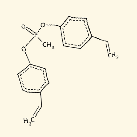 C=Cc1ccc(OP(C)(=O)Oc2ccc(C=C)cc2)cc1